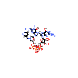 CN1CN([C@H]2CN(Cc3cccnc3)C[C@@H](COP(=O)(O)OP(=O)(O)OP(=O)(O)OC[C@H]3O[C@@H](n4cnc5c(=O)[nH]c(N)nc54)[C@H](O)[C@@H]3O)O2)c2nc(N)[nH]c(=O)c21